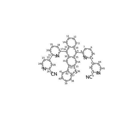 N#Cc1cc(-c2cccc(-c3c4ccccc4c(-c4cccc(-c5ccnc(C#N)c5)n4)c4cc5c(cc34)sc3ccccc35)n2)ccn1